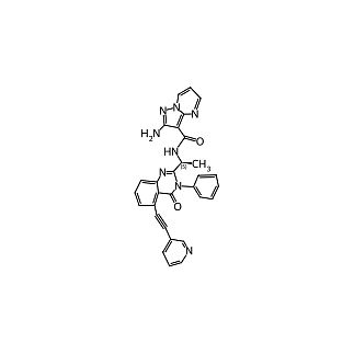 C[C@H](NC(=O)c1c(N)nn2cccnc12)c1nc2cccc(C#Cc3cccnc3)c2c(=O)n1-c1ccccc1